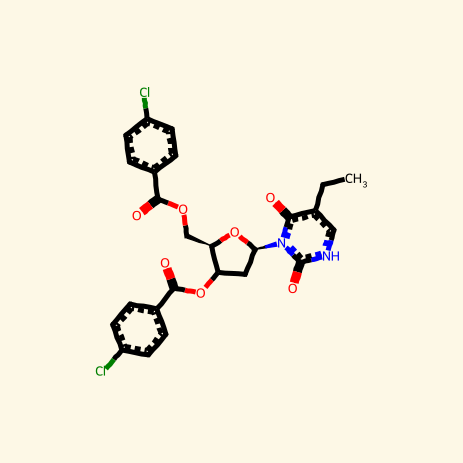 CCc1c[nH]c(=O)n([C@H]2CC(OC(=O)c3ccc(Cl)cc3)[C@@H](COC(=O)c3ccc(Cl)cc3)O2)c1=O